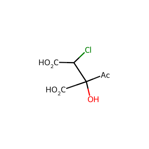 CC(=O)C(O)(C(=O)O)C(Cl)C(=O)O